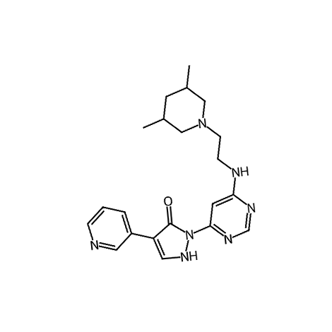 CC1CC(C)CN(CCNc2cc(-n3[nH]cc(-c4cccnc4)c3=O)ncn2)C1